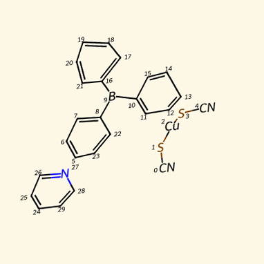 N#C[S][Cu][S]C#N.c1ccc(B(c2ccccc2)c2ccccc2)cc1.c1ccncc1